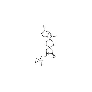 COC1(CCN2CC3(CCC(c4ccc(F)s4)(N(C)C)CC3)CC2=O)CC1